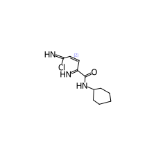 N=C(Cl)/C=C\C(=N)C(=O)NC1CCCCC1